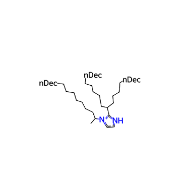 CCCCCCCCCCCCCCCCCC(C)[n+]1cc[nH]c1C(CCCCCCCCCCCCCC)CCCCCCCCCCCCCCC